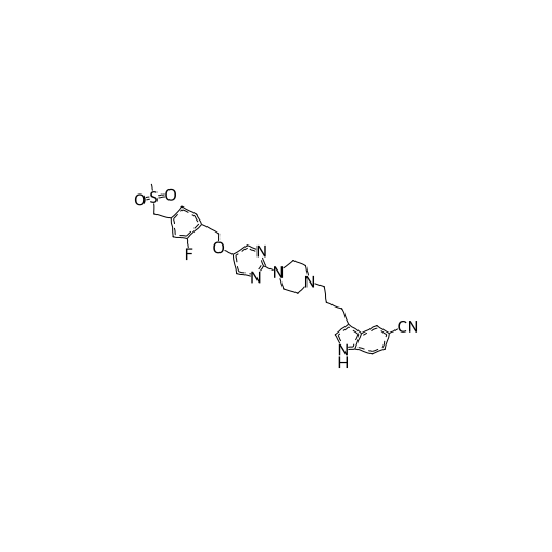 CS(=O)(=O)Cc1ccc(COc2cnc(N3CCN(CCCc4c[nH]c5ccc(C#N)cc45)CC3)nc2)c(F)c1